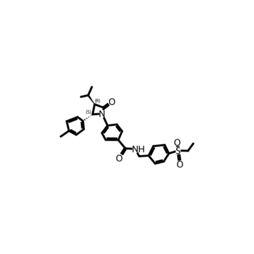 CCS(=O)(=O)c1ccc(CNC(=O)c2ccc(N3C(=O)[C@H](C(C)C)[C@H]3c3ccc(C)cc3)cc2)cc1